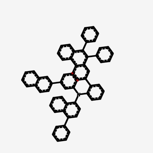 c1ccc(-c2ccc(N(c3cccc(-c4ccc5ccccc5c4)c3)c3ccccc3-c3ccc4c(c3)c(-c3ccccc3)c(-c3ccccc3)c3ccccc34)c3ccccc23)cc1